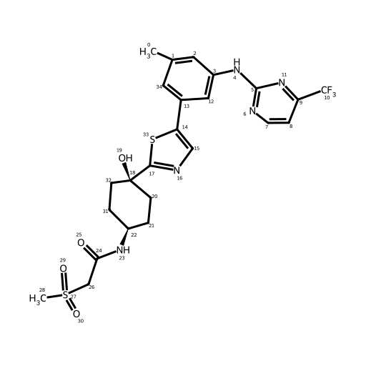 Cc1cc(Nc2nccc(C(F)(F)F)n2)cc(-c2cnc([C@]3(O)CC[C@@H](NC(=O)CS(C)(=O)=O)CC3)s2)c1